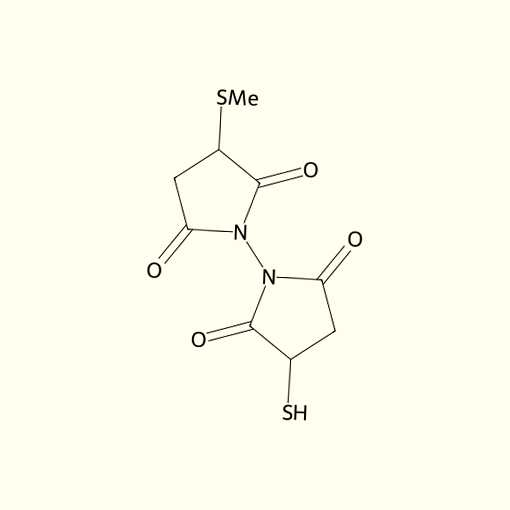 CSC1CC(=O)N(N2C(=O)CC(S)C2=O)C1=O